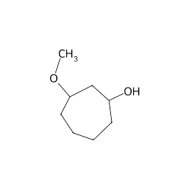 COC1CCCCC(O)C1